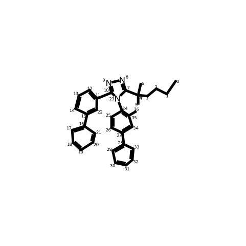 CCCCC(C)(C)c1nnc(-c2cccc(-c3ccccc3)c2)n1-c1ccc(-c2ccccc2)cc1C